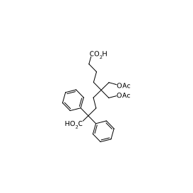 CC(=O)OCC(CCCC(=O)O)(CCC(C(=O)O)(c1ccccc1)c1ccccc1)COC(C)=O